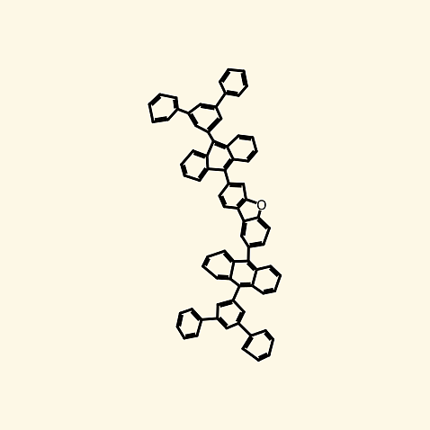 c1ccc(-c2cc(-c3ccccc3)cc(-c3c4ccccc4c(-c4ccc5c(c4)oc4ccc(-c6c7ccccc7c(-c7cc(-c8ccccc8)cc(-c8ccccc8)c7)c7ccccc67)cc45)c4ccccc34)c2)cc1